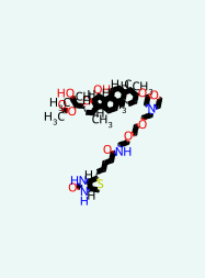 CC(=O)O[C@@H]([C@H]1C[C@@H](C)[C@H]2[C@H](O1)[C@H](O)[C@@]1(C)[C@@H]3CC[C@H]4C(C)(C)[C@@H](O[C@H]5CN(CCOCCOCCNC(=O)CCCC[C@@H]6SC[C@@H]7NC(=O)N[C@@H]76)CCO5)CC[C@@]45C[C@@]35CC[C@]21C)C(C)(C)O